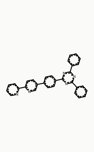 c1ccc(-c2nc(-c3ccccc3)nc(-c3ccc(-c4ccc(-c5ccccn5)nc4)cc3)n2)cc1